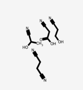 CC(O)C#N.N#CCC(=O)O.N#CCCC#N.N#CCCO